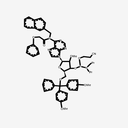 COc1ccc(C(OC[C@H]2O[C@@H](n3cnc4c(N(Cc5ccc6ccccc6c5)C(=O)COc5ccccc5)ncnc43)C(OC)C2OP(OCCC#N)N(C(C)C)C(C)C)(c2ccccc2)c2ccc(OC)cc2)cc1